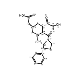 CN1C[C@@H](OC(=O)O)C[C@H](C(=O)NO)[C@H]1C(=O)N1CC[C@H](c2ccccc2)C1